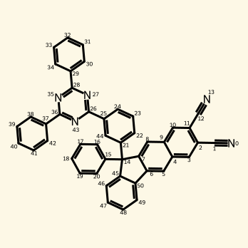 N#Cc1cc2cc3c(cc2cc1C#N)C(c1ccccc1)(c1cccc(-c2nc(-c4ccccc4)nc(-c4ccccc4)n2)c1)c1ccccc1-3